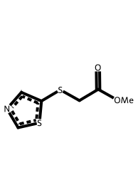 COC(=O)CSc1[c]ncs1